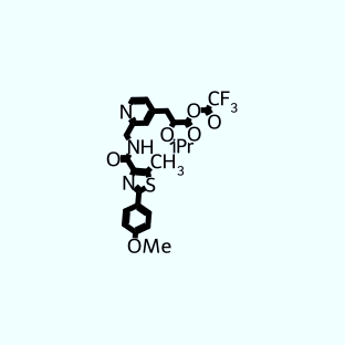 COc1ccc(-c2nc(C(=O)NCc3cc(CC(OC(C)C)C(=O)OC(=O)C(F)(F)F)ccn3)c(C)s2)cc1